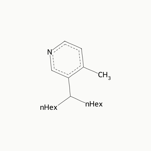 CCCCCCC(CCCCCC)c1cnccc1C